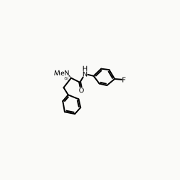 CN[C@@H](Cc1ccccc1)C(=O)Nc1ccc(F)cc1